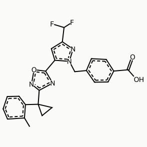 Cc1ccccc1C1(c2noc(-c3cc(C(F)F)nn3Cc3ccc(C(=O)O)cc3)n2)CC1